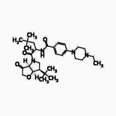 CCN1CCN(c2ccc(C(=O)NC(CC(C)(C)C)C(=O)N3C[C@@H](C(C)(C)C)[C@H]4OCC(=O)[C@H]43)cc2)CC1